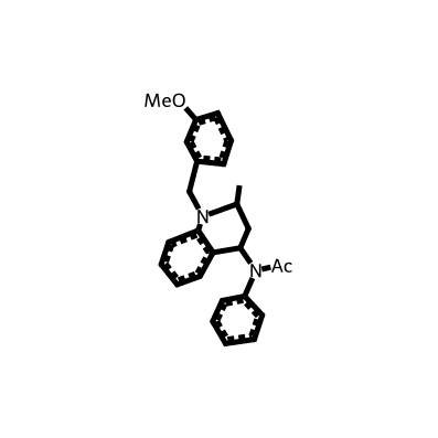 COc1cccc(CN2c3ccccc3C(N(C(C)=O)c3ccccc3)CC2C)c1